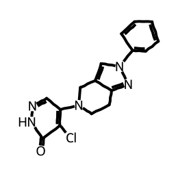 O=c1[nH]ncc(N2CCc3nn(-c4ccccc4)cc3C2)c1Cl